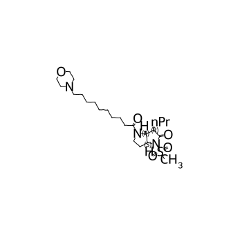 CCC[C@H]1C(=O)N(S(C)(=O)=O)[C@H]2CCN(C(=O)CCCCCCCCCN3CCOCC3)[C@H]12